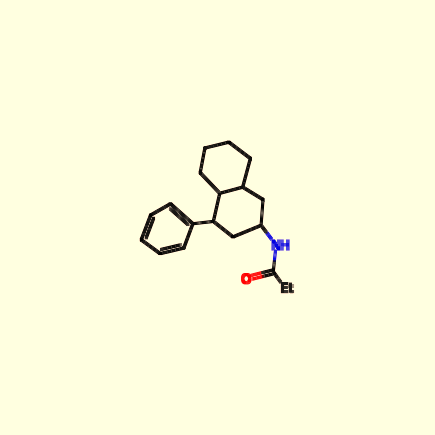 CCC(=O)NC1CC2CCCCC2C(c2ccccc2)C1